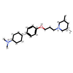 CC1C[C@H](C)CN(CCCOc2ccc([C@H]3CC[C@H](N(C)C)CC3)cc2)C1